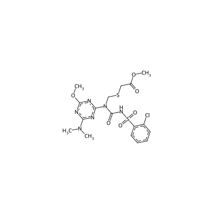 COC(=O)CSCN(C(=O)NS(=O)(=O)c1ccccc1Cl)c1nc(OC)nc(N(C)C)n1